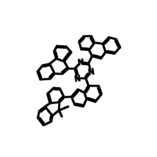 CC1(C)c2ccccc2-c2cccc(-c3ccc4cccc(-c5nc(-c6cc7ccccc7c7ccccc67)nc(-c6cc7ccccc7c7ccccc67)n5)c4c3)c21